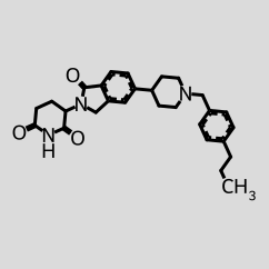 CCCc1ccc(CN2CCC(c3ccc4c(c3)CN(C3CCC(=O)NC3=O)C4=O)CC2)cc1